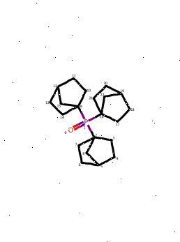 O=P(C12CCC(CC1)C2)(C12CCC(CC1)C2)C12CCC(CC1)C2